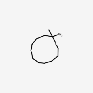 CC1(P)CCCCCCCCCCC1